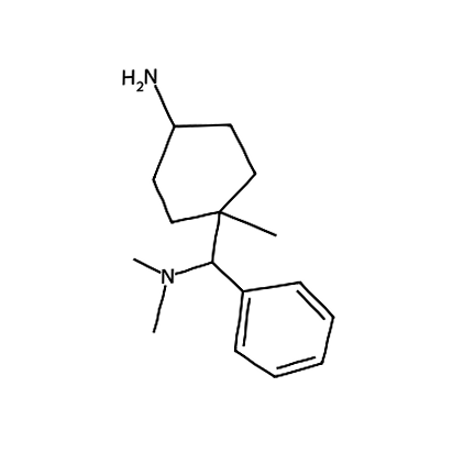 CN(C)C(c1ccccc1)C1(C)CCC(N)CC1